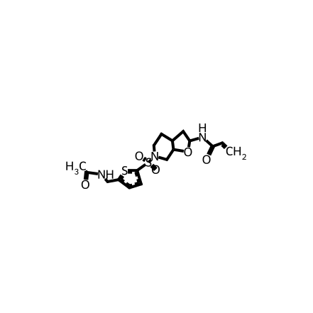 C=CC(=O)NC1CC2CCN(S(=O)(=O)c3ccc(CNC(C)=O)s3)CC2O1